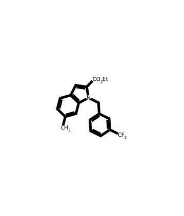 CCOC(=O)c1cc2ccc(C)cc2n1Cc1cccc(C(F)(F)F)c1